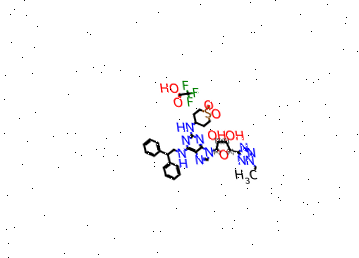 CCn1nnc([C@H]2O[C@@H](n3cnc4c(NCC(c5ccccc5)c5ccccc5)nc(NC5CCS(=O)(=O)CC5)nc43)[C@H](O)[C@@H]2O)n1.O=C(O)C(F)(F)F